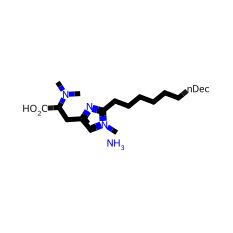 CCCCCCCCCCCCCCCCc1nc(CC(C(=O)O)N(C)C)cn1C.N